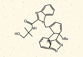 CCCCC1(c2nnn[nH]2)C=CC=C(Cn2c(C(=O)NC(C)(C)CO)nc3ccccc32)C1c1ccccc1